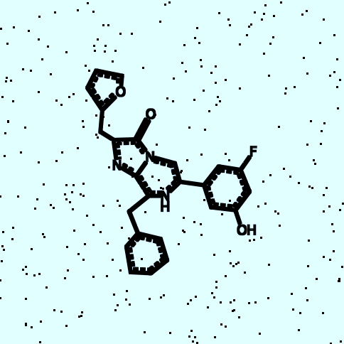 O=c1c(Cc2ccco2)nc2c(Cc3ccccc3)[nH]c(-c3cc(O)cc(F)c3)cn1-2